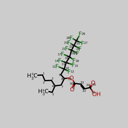 CCCCC(CC)CC(CC(F)(F)C(F)(F)C(F)(F)C(F)(F)C(F)(F)C(F)(F)F)OC(=O)/C=C/C(=O)O